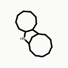 C1CCCC2CC(CCC1)C1CCCCCCCC1N2